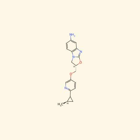 C[C@@H]1CC1c1ccc(OC[C@@H]2Cn3c(nc4cc(N)ccc43)O2)cn1